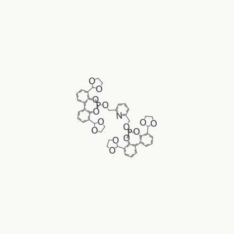 c1cc(COp2oc3c(C4OCCO4)cccc3c3cccc(C4OCCO4)c3o2)nc(COp2oc3c(C4OCCO4)cccc3c3cccc(C4OCCO4)c3o2)c1